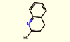 CCC1=CCC2C=CC=CC2=N1